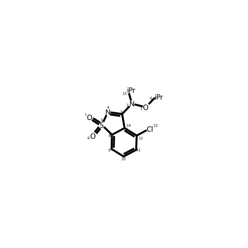 CC(C)ON(C1=NS(=O)(=O)c2cccc(Cl)c21)C(C)C